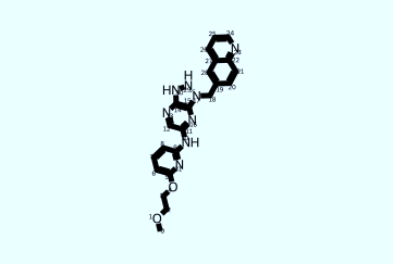 COCCOc1cccc(Nc2cnc3c(n2)N(Cc2ccc4ncccc4c2)NN3)n1